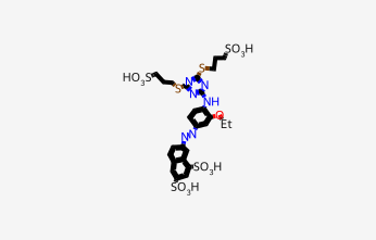 CCOc1cc(N=Nc2ccc3cc(S(=O)(=O)O)cc(S(=O)(=O)O)c3c2)ccc1Nc1nc(SCCCS(=O)(=O)O)nc(SCCCS(=O)(=O)O)n1